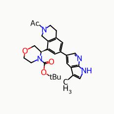 CC(=O)N1CCc2cc(-c3cnc4[nH]cc(C)c4c3)cc([C@@H]3COCCN3C(=O)OC(C)(C)C)c2C1